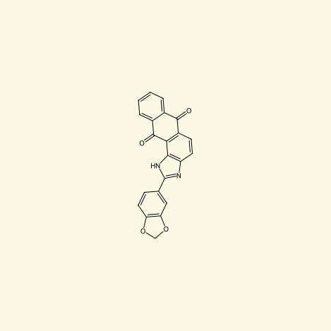 O=C1c2ccccc2C(=O)c2c1ccc1nc(-c3ccc4c(c3)OCO4)[nH]c21